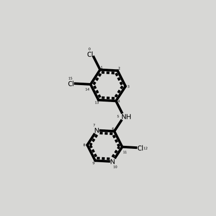 Clc1ccc(Nc2nccnc2Cl)cc1Cl